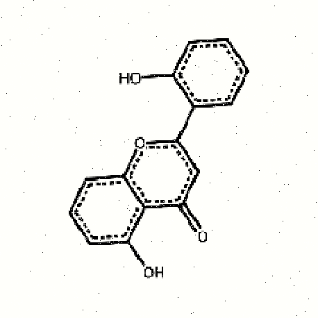 O=c1cc(-c2ccccc2O)oc2cccc(O)c12